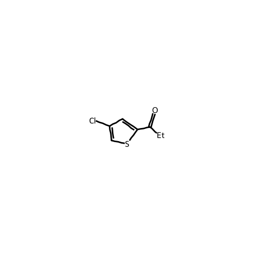 CCC(=O)c1cc(Cl)cs1